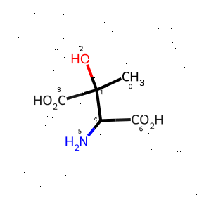 CC(O)(C(=O)O)C(N)C(=O)O